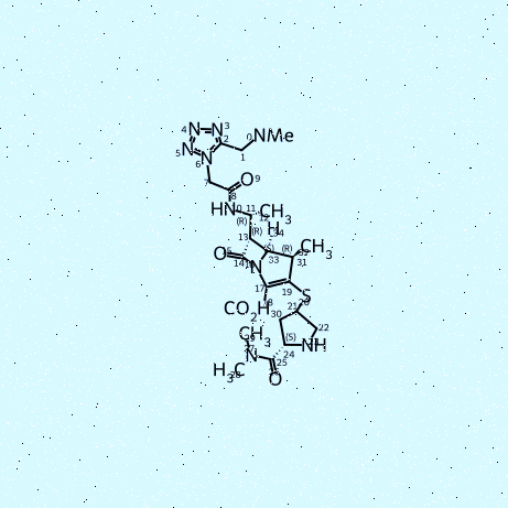 CNCc1nnnn1CC(=O)N[C@H](C)[C@H]1C(=O)N2C(C(=O)O)=C(SC3CN[C@H](C(=O)N(C)C)C3)[C@H](C)[C@H]12